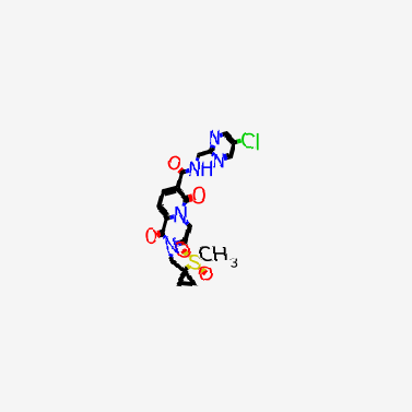 CS(=O)(=O)C1(CN2CCn3c(ccc(C(=O)NCc4ncc(Cl)cn4)c3=O)C2=O)CC1